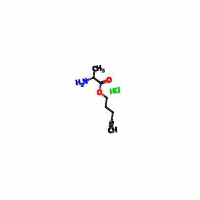 C#CCCCOC(=O)C(C)N.Cl